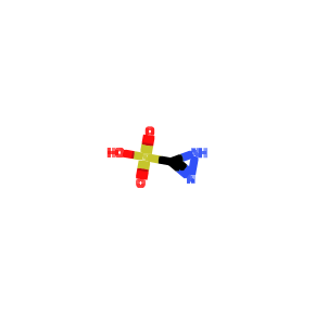 O=S(=O)(O)C1=NN1